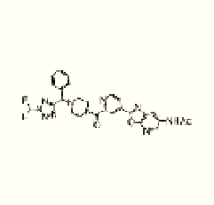 CC(=O)Nc1cnc2oc(-c3ccnc(C(=O)N4CCN([C@H](c5ccccc5)c5nnn(C(F)F)n5)CC4)c3)nc2c1